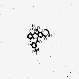 CN1C(=O)c2c3c(cc(NC(=O)c4cc(F)cc(C(F)(F)F)c4)c2C1c1cc(F)ccc1Cl)C(=O)NCCCO3